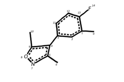 Cc1cc(-c2c(C)noc2C)ccc1F